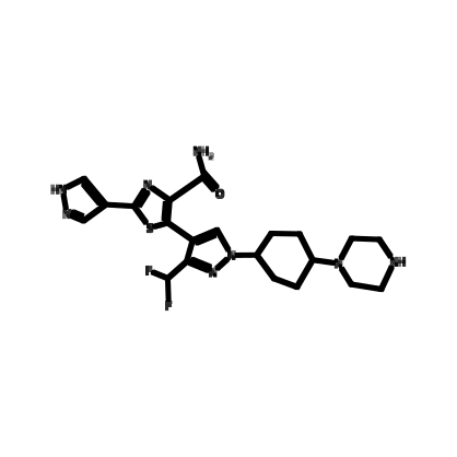 NC(=O)c1nc(-c2cn[nH]c2)sc1-c1cn(C2CCC(N3CCNCC3)CC2)nc1C(F)F